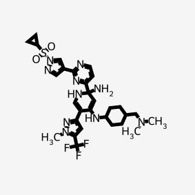 CN(C)CC1CCC(NC2=CC(N)(c3ccnc(-c4cnn(S(=O)(=O)C5CC5)c4)n3)NC=C2c2cc(C(F)(F)F)n(C)n2)CC1